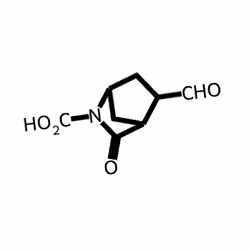 O=CC1CC2CC1C(=O)N2C(=O)O